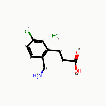 Cl.NCc1ccc(Cl)cc1CCC(=O)O